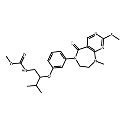 COC(=O)NCC(Oc1cccc(N2CCN(C)c3nc(SC)ncc3C2=O)c1)C(C)C